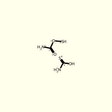 NC(=O)OS.NC(O)=S